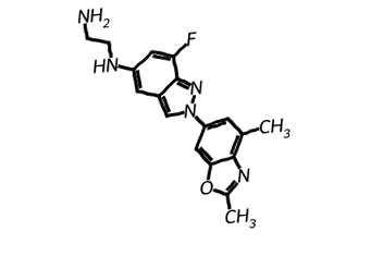 Cc1nc2c(C)cc(-n3cc4cc(NCCN)cc(F)c4n3)cc2o1